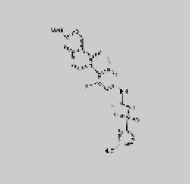 CNc1ccc2c(=O)n(-c3c(F)cc(NC(=O)NS(=O)(=O)c4ccc(C)s4)cc3F)ccc2c1